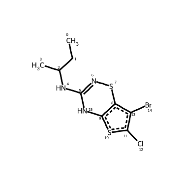 CCC(C)NC1=NSc2c(sc(Cl)c2Br)N1